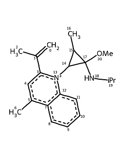 C=C(C)c1cc(C)c2ccccc2[n+]1C1C(C)C1(NC(C)C)OC